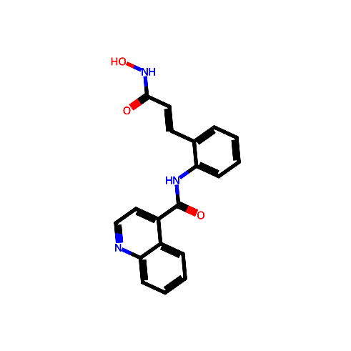 O=C(C=Cc1ccccc1NC(=O)c1ccnc2ccccc12)NO